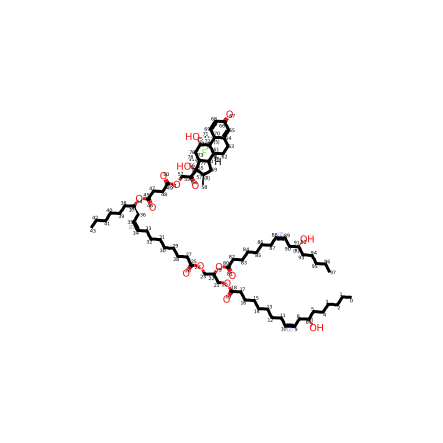 CCCCCC[C@@H](O)C/C=C\CCCCCCCC(=O)OCC(COC(=O)CCCCCCC/C=C\C[C@@H](CCCCCC)OC(=O)CCC(=O)OCC(=O)[C@@]1(O)[C@H](C)CC2[C@@H]3CCC4=CC(=O)C=C[C@]4(C)[C@@]3(F)[C@@H](O)C[C@@]21C)OC(=O)CCCCCC/C=C\C[C@H](O)CCCCC